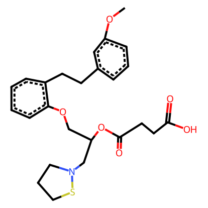 COc1cccc(CCc2ccccc2OCC(CN2CCCS2)OC(=O)CCC(=O)O)c1